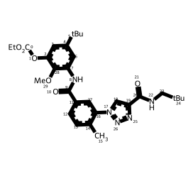 CCOC(=O)Oc1cc(C(C)(C)C)cc(NC(=O)c2ccc(C)c(-n3cc(C(=O)NCC(C)(C)C)nn3)c2)c1OC